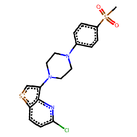 CS(=O)(=O)c1ccc(N2CCN(c3csc4ccc(Cl)nc34)CC2)cc1